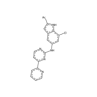 CC(=O)c1cc2cc(Nc3nccc(-c4ccccn4)n3)cc(Cl)c2[nH]1